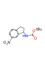 CC(C)(C)OC(=O)NC1CCc2ccc([N+](=O)[O-])cc21